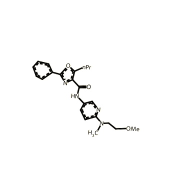 CCCc1oc(-c2ccccc2)nc1C(=O)Nc1ccc(N(C)CCOC)nc1